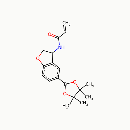 C=CC(=O)NC1COc2ccc(B3OC(C)(C)C(C)(C)O3)cc21